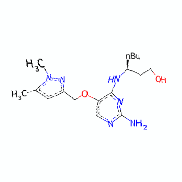 CCCC[C@@H](CCO)Nc1nc(N)ncc1OCc1cc(C)n(C)n1